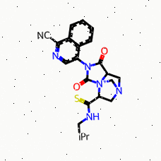 CC(C)CNC(=S)C1CN2CC3C(=O)N(c4cnc(C#N)c5ccccc45)C(=O)[N+]31C2